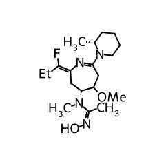 CC/C(F)=C1\C[C@@H](N(C)/C(C)=N\O)C(OC)CC(N2CCCC[C@H]2C)=N1